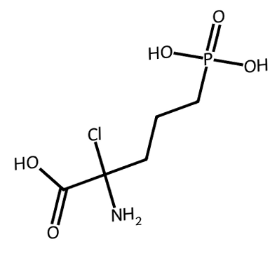 NC(Cl)(CCCP(=O)(O)O)C(=O)O